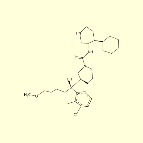 COCCCC[C@@](O)(c1cccc(Cl)c1F)[C@@H]1CCCN(C(=O)N[C@@H]2CNCC[C@H]2C2CCCCC2)C1